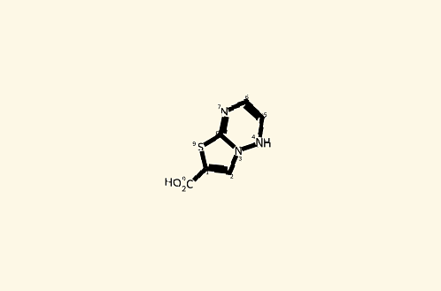 O=C(O)C1=CN2NC=CN=C2S1